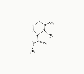 COC(=O)C1CCCN(C)C1C